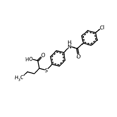 CCCC(Sc1ccc(NC(=O)c2ccc(Cl)cc2)cc1)C(=O)O